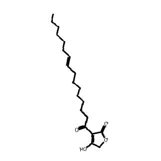 CCCCCCC=CCCCCCCCC(=O)C1=C(O)COC1=O